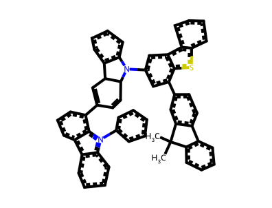 CC1(C)c2ccccc2-c2ccc(-c3cc(N4c5ccccc5C5C=C(c6cccc7c8ccccc8n(-c8ccccc8)c67)C=CC54)cc4c3sc3ccccc34)cc21